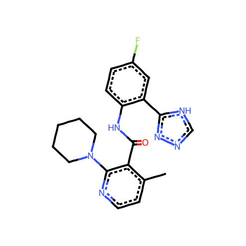 Cc1ccnc(N2CCCCC2)c1C(=O)Nc1ccc(F)cc1-c1nnc[nH]1